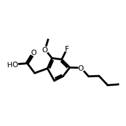 CCCCOc1ccc(CC(=O)O)c(OC)c1F